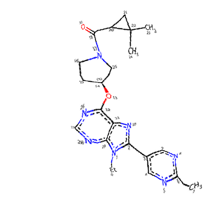 CCn1c(-c2cnc(C)nc2)nc2c(O[C@H]3CCN(C(=O)C4CC4(C)C)C3)ncnc21